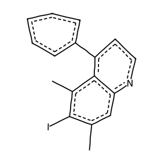 Cc1cc2nccc(-c3ccccc3)c2c(C)c1I